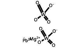 [Mg+2].[O]=[W](=[O])([O-])[O-].[O]=[W](=[O])([O-])[O-].[Pb+2]